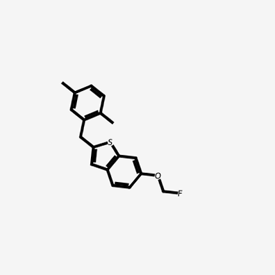 Cc1ccc(C)c(Cc2cc3ccc(OCF)cc3s2)c1